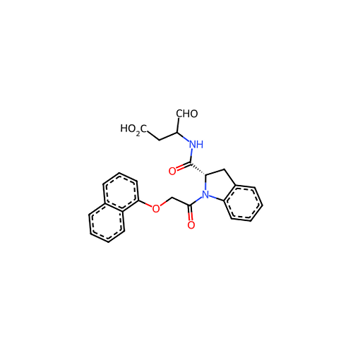 O=CC(CC(=O)O)NC(=O)[C@@H]1Cc2ccccc2N1C(=O)COc1cccc2ccccc12